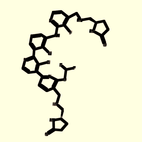 O=C1CC[C@H](CNCc2ccnc(Nc3cccc(-c4nccc(-c5ccc(CNC[C@@H]6CCC(=O)N6)c(OC(F)F)n5)c4Cl)c3Cl)c2F)N1